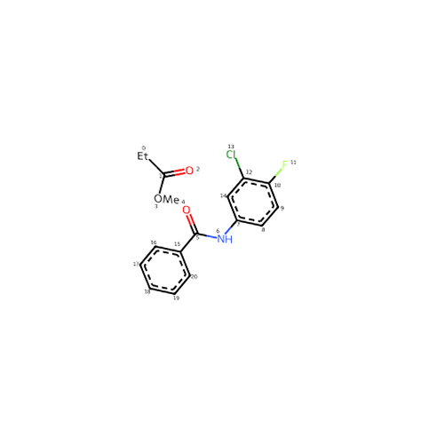 CCC(=O)OC.O=C(Nc1ccc(F)c(Cl)c1)c1ccccc1